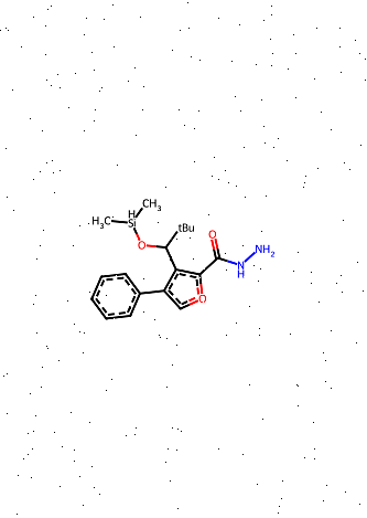 C[SiH](C)OC(c1c(-c2ccccc2)coc1C(=O)NN)C(C)(C)C